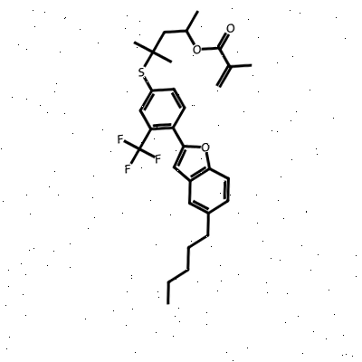 C=C(C)C(=O)OC(C)CC(C)(C)Sc1ccc(-c2cc3cc(CCCCC)ccc3o2)c(C(F)(F)F)c1